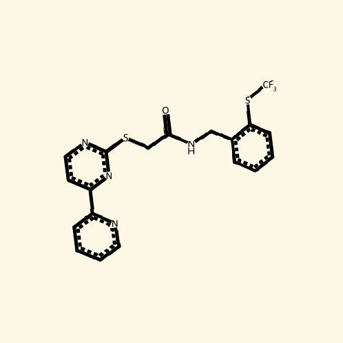 O=C(CSc1nccc(-c2ccccn2)n1)NCc1ccccc1SC(F)(F)F